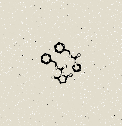 O=C(OCc1ccccc1)n1cccc1.O=C1CCC(=O)N1C(=O)OCc1ccccc1